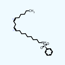 CCCCC/C=C\C/C=C\CCCCCCCCNS(=O)(=O)c1ccccc1